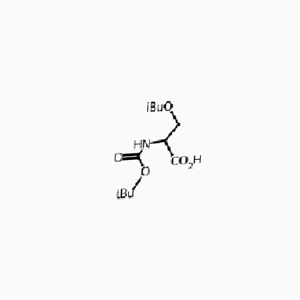 CC(C)COCC(NC(=O)OC(C)(C)C)C(=O)O